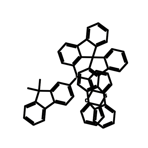 CC1(C)c2ccccc2-c2ccc(N(c3cccc4c3C3(c5ccccc5-4)c4ccccc4-c4c3ccc3c4sc4ccccc43)c3cccc4c3oc3ccccc34)cc21